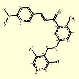 C[S+]([O-])c1ccc(/C=C/C(=N)c2cc(OCc3c(Cl)cncc3Cl)ccc2N)cn1